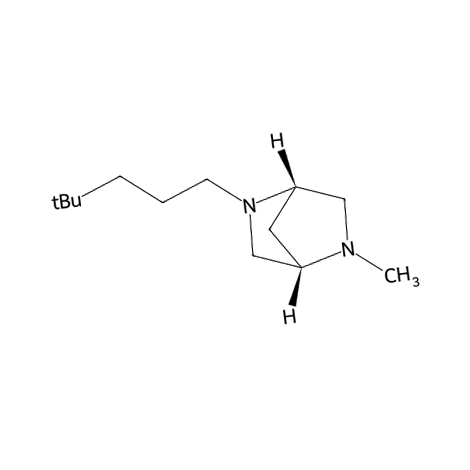 CN1C[C@@H]2C[C@H]1CN2CCCC(C)(C)C